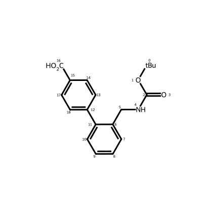 CC(C)(C)OC(=O)NCc1ccccc1-c1ccc(C(=O)O)cc1